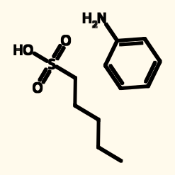 CCCCCS(=O)(=O)O.Nc1ccccc1